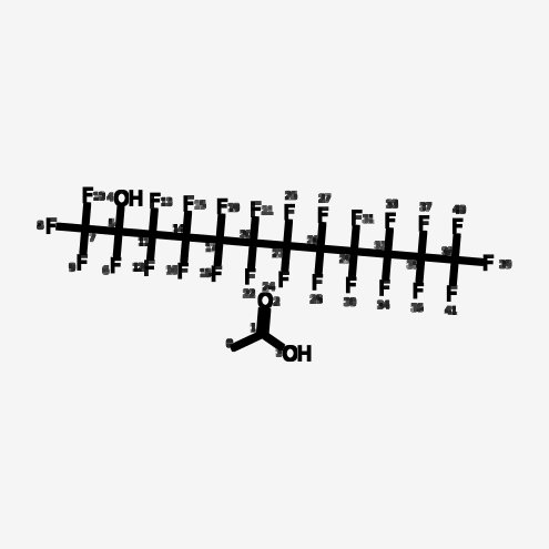 CC(=O)O.OC(F)(C(F)(F)F)C(F)(F)C(F)(F)C(F)(F)C(F)(F)C(F)(F)C(F)(F)C(F)(F)C(F)(F)C(F)(F)C(F)(F)F